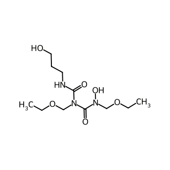 CCOCN(O)C(=O)N(COCC)C(=O)NCCCO